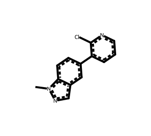 Cn1ncc2cc(-c3cccnc3Cl)ccc21